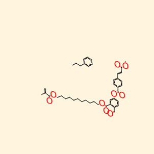 C=C(C)C(=O)OCCCCCCCCCCCOC(=O)c1cc(OC(=O)c2ccc(C=CC(=O)OC)cc2)ccc1C=O.CCCc1ccccc1